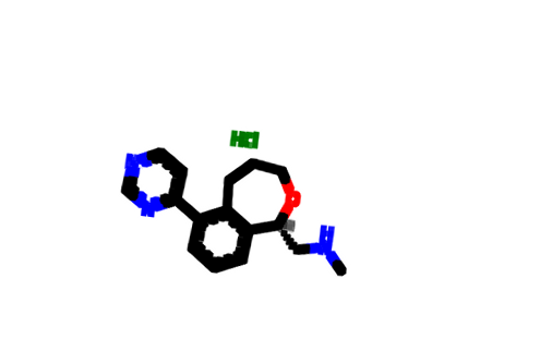 CNC[C@H]1OCCCc2c(-c3ccncn3)cccc21.Cl